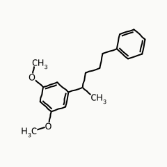 COc1cc(OC)cc(C(C)CCCc2ccccc2)c1